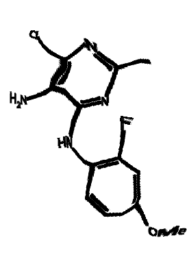 COc1ccc(Nc2nc(C)nc(Cl)c2N)c(F)c1